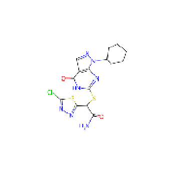 NC(=O)C(Sc1nc2c(cnn2C2CCCCC2)c(=O)[nH]1)c1nnc(Cl)s1